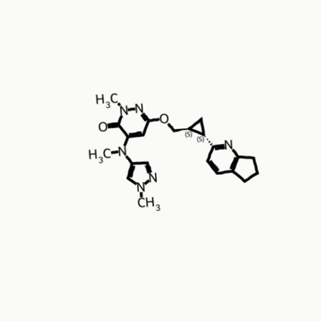 CN(c1cnn(C)c1)c1cc(OC[C@H]2C[C@@H]2c2ccc3c(n2)CCC3)nn(C)c1=O